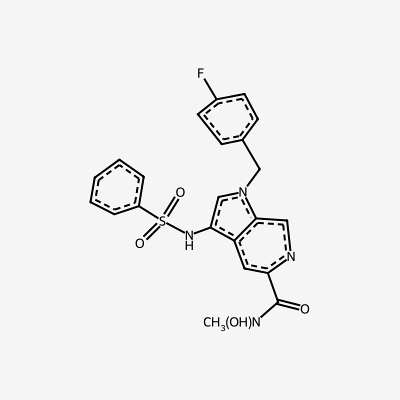 CN(O)C(=O)c1cc2c(NS(=O)(=O)c3ccccc3)cn(Cc3ccc(F)cc3)c2cn1